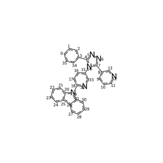 c1ccc(-c2nnc(-c3cccnc3)n2-c2ccc(-n3c4ccccc4c4ccccc43)nc2)cc1